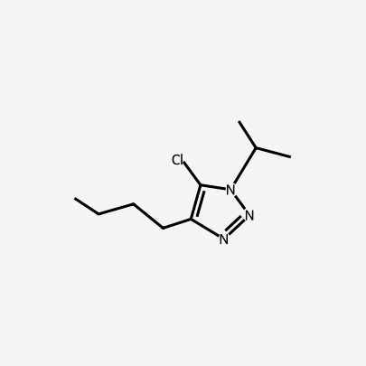 CCCCc1nnn(C(C)C)c1Cl